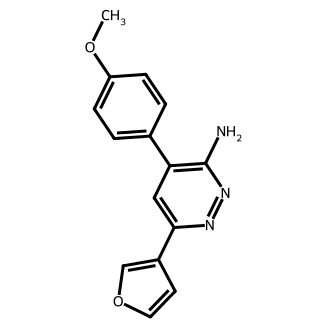 COc1ccc(-c2cc(-c3ccoc3)nnc2N)cc1